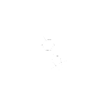 CC1(C)OB(C2=CC=C(Cl)C(F)(F)C2)OC1(C)C